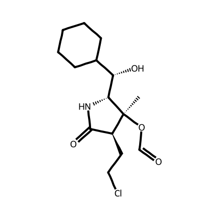 C[C@@]1(OC=O)[C@@H]([C@@H](O)C2CCCCC2)NC(=O)[C@@H]1CCCl